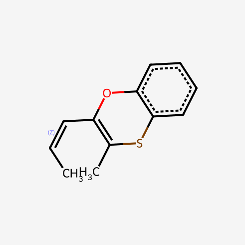 C/C=C\C1=C(C)Sc2ccccc2O1